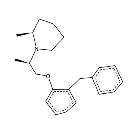 C[C@H](COc1ccccc1Cc1ccccc1)N1CCCC[C@@H]1C